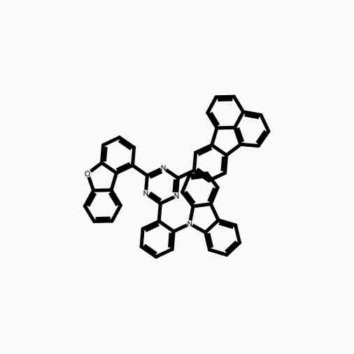 c1ccc(-n2c3ccccc3c3ccccc32)c(-c2nc(-c3ccc4c(c3)-c3cccc5cccc-4c35)nc(-c3cccc4oc5ccccc5c34)n2)c1